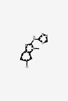 Cn1c(Nc2nnco2)nc2ccc(Cl)cc21